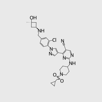 C[C@]1(O)C[C@@H](NCc2ccc(-n3cc(-c4nc(NC5CCN(S(=O)(=O)C6CC6)CC5)ncc4C#N)cn3)c(Cl)c2)C1